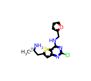 C[C@H](N)Cc1cc2nc(Cl)nc(NCc3ccco3)c2s1